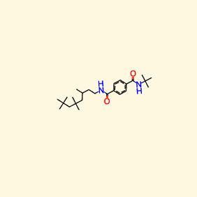 CC(CCNC(=O)c1ccc(C(=O)NC(C)(C)C)cc1)CC(C)(C)CC(C)(C)C